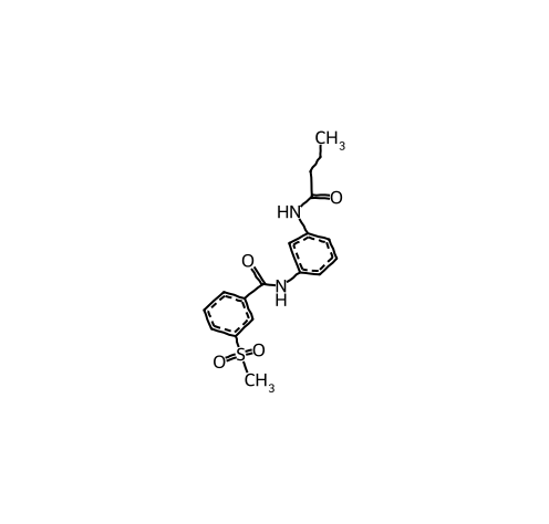 CCCC(=O)Nc1cccc(NC(=O)c2cccc(S(C)(=O)=O)c2)c1